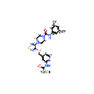 COC(=O)Nc1cc(COc2nsnc2N2CCN(C(=O)Nc3cc(C(F)(F)F)cc(C(F)(F)F)c3)CC2)ccn1